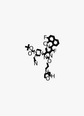 CC(C)(C)OC(=O)N1CCN(c2nc(OCCCN3C[C@@H]4CC3CO4)nc3c(F)c(-c4cccc5ccc(F)c(Cl)c45)ncc23)C[C@@H]1CC#N